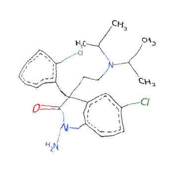 CC(C)N(CCC1(c2ccccc2Cl)C(=O)N(N)c2ccc(Cl)cc21)C(C)C